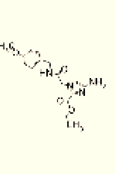 CCOC(=O)c1nc(N)cn1CC(=O)NCc1ccc(OC)cc1